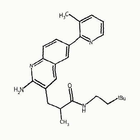 Cc1cccnc1-c1ccc2nc(N)c(CC(C)C(=O)NCCC(C)(C)C)cc2c1